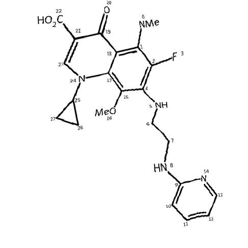 CNc1c(F)c(NCCNc2ccccn2)c(OC)c2c1c(=O)c(C(=O)O)cn2C1CC1